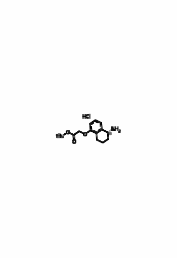 CC(C)(C)OC(=O)COc1cccc2c1CCC[C@H]2N.Cl